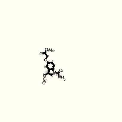 COC(=O)COc1ccc2c(c1)c(N=C=O)cn2C(N)=O